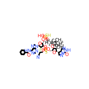 C[C@@H]1C(O[Si](C)(C)C(C)(C)C)[C@@H](COP(=S)(OCCC#N)O[C@H]2[C@@H](F)[C@H](n3cnc4c(NC(=O)c5ccccc5)ncnc43)O[C@@H]2COP(=O)(O)S)O[C@H]1C1C=NN2C(=O)NN=CC12